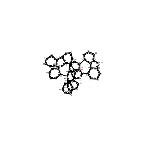 c1ccc(-c2nc(-c3cccc4c3oc3ccccc34)nc(-c3cccc4oc5cccc(-c6ccc7c(c6)c6ccccc6n7-c6ccccc6)c5c34)n2)cc1